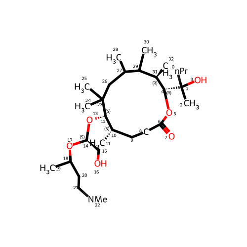 CCCC(C)(O)[C@@H]1OC(=O)CC[C@H](C)[C@H](O[C@@H](CO)OC(C)CCNC)C(C)(C)CC(C)C(C)[C@H]1C